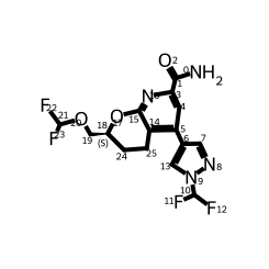 NC(=O)c1cc(-c2cnn(C(F)F)c2)c2c(n1)O[C@H](COC(F)F)CC2